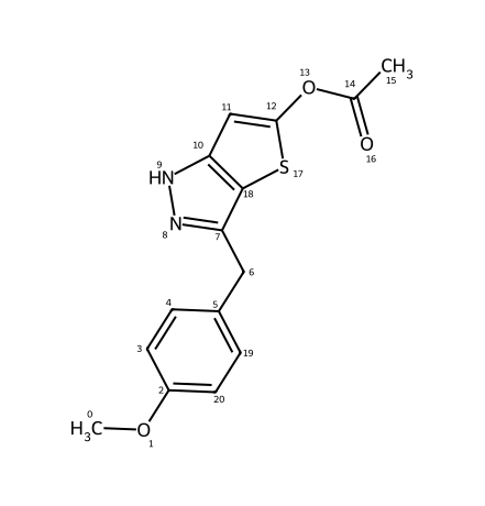 COc1ccc(Cc2n[nH]c3cc(OC(C)=O)sc23)cc1